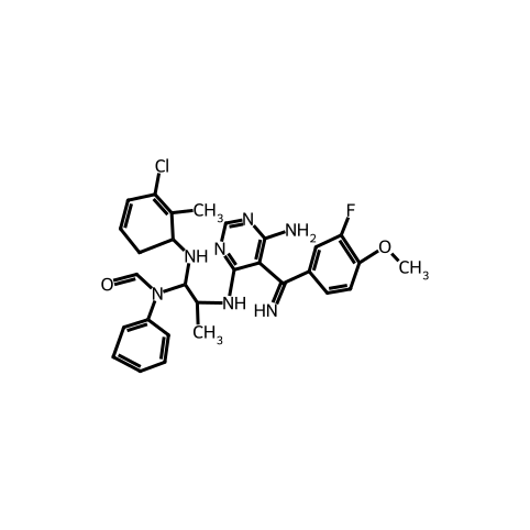 COc1ccc(C(=N)c2c(N)ncnc2NC(C)C(NC2CC=CC(Cl)=C2C)N(C=O)c2ccccc2)cc1F